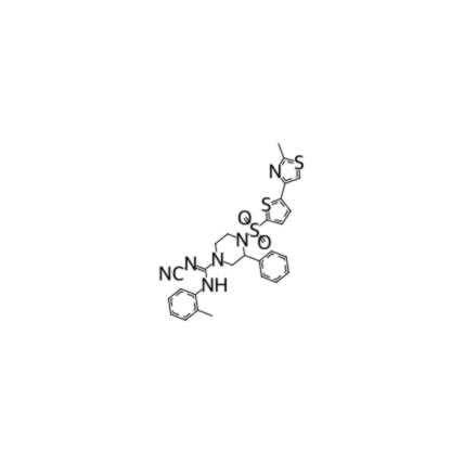 Cc1nc(-c2ccc(S(=O)(=O)N3CCN(/C(=N/C#N)Nc4ccccc4C)CC3c3ccccc3)s2)cs1